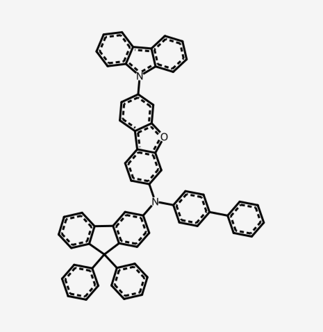 c1ccc(-c2ccc(N(c3ccc4c(c3)-c3ccccc3C4(c3ccccc3)c3ccccc3)c3ccc4c(c3)oc3cc(-n5c6ccccc6c6ccccc65)ccc34)cc2)cc1